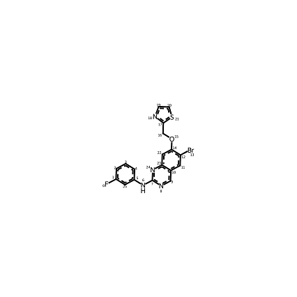 Fc1cccc(Nc2ncc3cc(Br)c(OCc4nccs4)cc3n2)c1